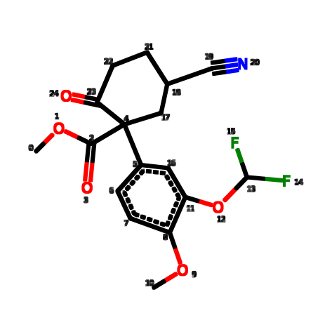 COC(=O)C1(c2ccc(OC)c(OC(F)F)c2)CC(C#N)CCC1=O